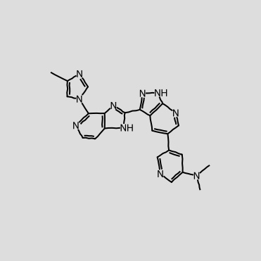 Cc1cn(-c2nccc3[nH]c(-c4n[nH]c5ncc(-c6cncc(N(C)C)c6)cc45)nc23)cn1